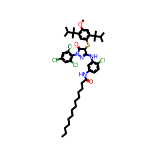 CCCCCCCCCCCCCC(=O)Nc1ccc(Cl)c(NC2=NN(c3c(Cl)cc(Cl)cc3Cl)C(=O)C2Sc2cc(C(C)(C)C(C)C)c(OC)cc2C(C)(C)C(C)C)c1